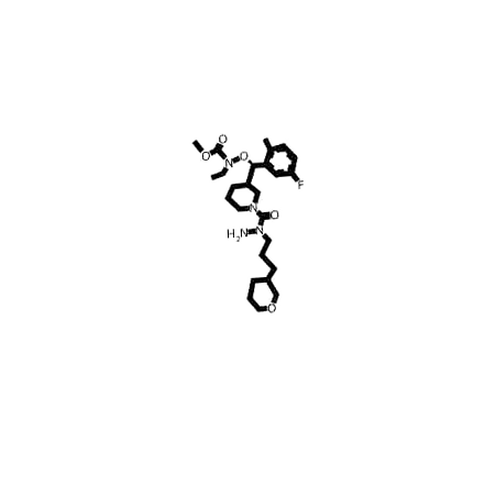 CCN(O[C@@H](c1cc(F)ccc1C)C1CCCN(C(=O)N(N)CCCC2CCCOC2)C1)C(=O)OC